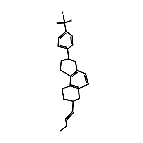 CC/C=C/C1CCc2c(ccc3c2CCC(c2ccc(C(F)(F)F)cc2)C3)C1